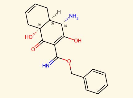 N=C(OCc1ccccc1)C1=C(O)[C@@H](N)[C@@H]2CC=CC[C@]2(O)C1=O